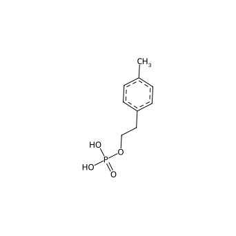 Cc1ccc(CCOP(=O)(O)O)cc1